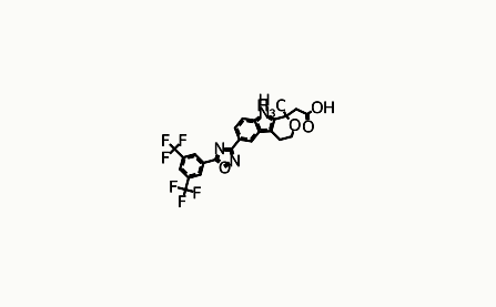 CC1(CC(=O)O)OCCc2c1[nH]c1ccc(-c3noc(-c4cc(C(F)(F)F)cc(C(F)(F)F)c4)n3)cc21